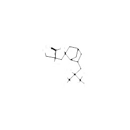 CCC1(C)CC2(CC3CC(CC(O)(C(F)(F)F)C(F)(F)F)C2C3)OC1=O